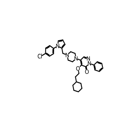 O=c1c(OCCC2CCCCC2)c(N2CCN(Cc3cccn3-c3ccc(Cl)cc3)CC2)cnn1-c1ccccc1